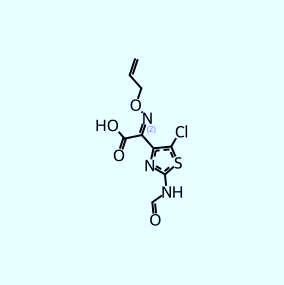 C=CCO/N=C(\C(=O)O)c1nc(NC=O)sc1Cl